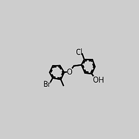 Cc1c(Br)cccc1OCc1cc(O)ccc1Cl